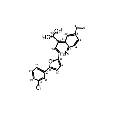 CCc1ccc2nc(-c3ccc(-c4cccc(Cl)c4)o3)cc(C(O)O)c2c1